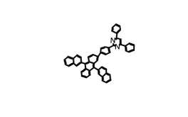 c1ccc(-c2cc(-c3ccccc3)nc(-c3ccc(-c4ccc5c(-c6ccc7ccccc7c6)c6ccccc6c(-c6ccc7ccccc7c6)c5c4)cc3)n2)cc1